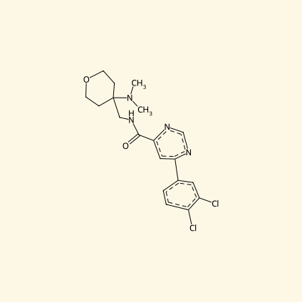 CN(C)C1(CNC(=O)c2cc(-c3ccc(Cl)c(Cl)c3)ncn2)CCOCC1